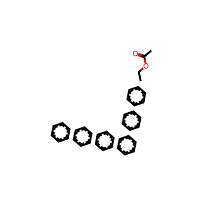 CCOC(C)=O.c1ccccc1.c1ccccc1.c1ccccc1.c1ccccc1.c1ccccc1.c1ccccc1